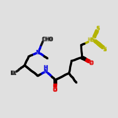 CCC(CNC(=O)C(C)CC(=O)C[SH](=S)=S)CN(C)C=O